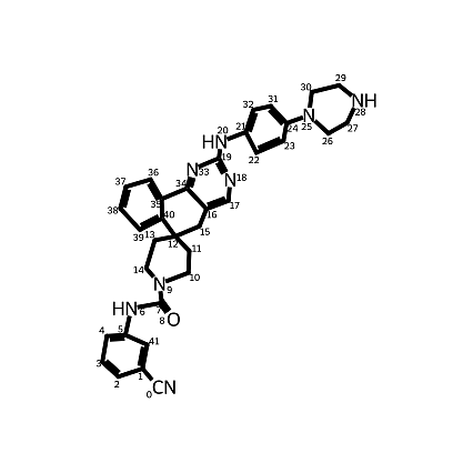 N#Cc1cccc(NC(=O)N2CCC3(CC2)Cc2cnc(Nc4ccc(N5CCNCC5)cc4)nc2-c2ccccc23)c1